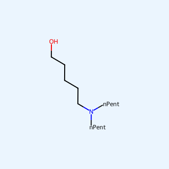 CCCCCN(CCCCC)CCCCCO